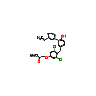 C=Cc1cccc(-c2cc(Cc3c(Cl)cc(OCC(=O)OC)cc3Cl)ccc2O)c1